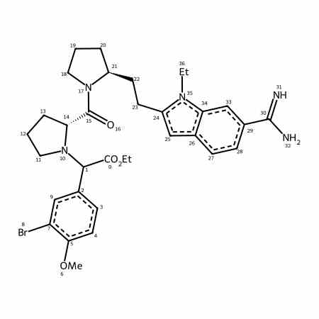 CCOC(=O)C(c1ccc(OC)c(Br)c1)N1CCC[C@@H]1C(=O)N1CCC[C@H]1CCc1cc2ccc(C(=N)N)cc2n1CC